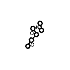 c1ccc2c(c1)oc1cc(-c3cccc4c3oc3cccc(-n5c6ccccc6c6ccccc65)c34)ccc12